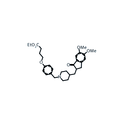 CCOC(=O)CCCOc1ccc(CN2CCC(CC3Cc4cc(OC)c(OC)cc4C3=O)CC2)cc1